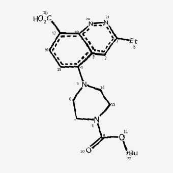 CCc1cc2c(N3CCN(C(=O)OC(C)(C)C)CC3)ccc(C(=O)O)c2nn1